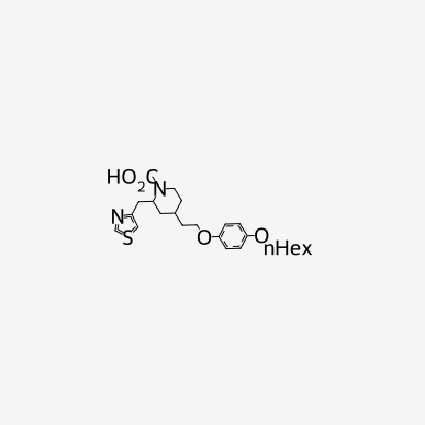 CCCCCCOc1ccc(OCCC2CCN(C(=O)O)C(Cc3cscn3)C2)cc1